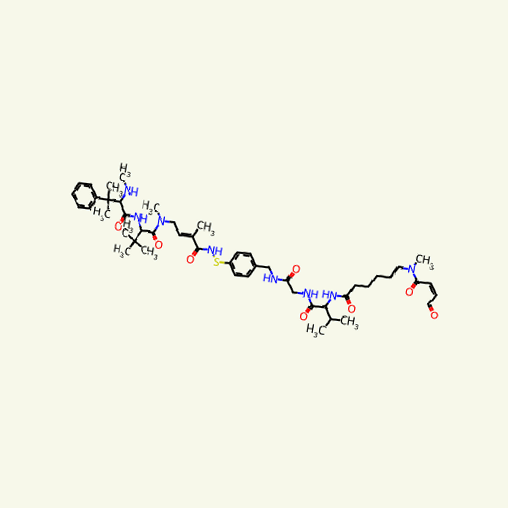 CNC(C(=O)NC(C(=O)N(C)C/C=C(\C)C(=O)NSc1ccc(CNC(=O)CNC(=O)C(NC(=O)CCCCCN(C)C(=O)/C=C\C=O)C(C)C)cc1)C(C)(C)C)C(C)(C)c1ccccc1